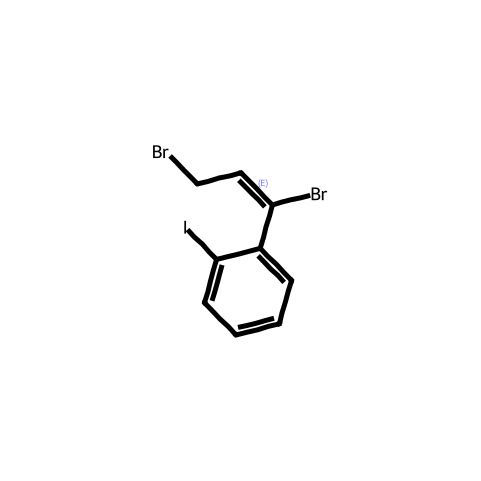 BrC/C=C(/Br)c1ccccc1I